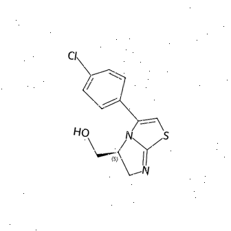 OC[C@@H]1CN=C2SC=C(c3ccc(Cl)cc3)N21